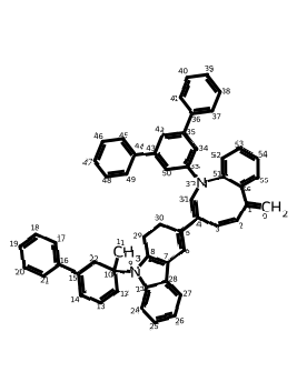 C=C1/C=C\C(C2=Cc3c(n(C4(C)C=CC=C(c5ccccc5)C4)c4ccccc34)CC2)=C/N(c2cc(-c3ccccc3)cc(-c3ccccc3)c2)c2ccccc21